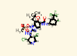 CC1(C)Cc2c(c(C(=O)Nc3ccc(F)c(C(F)(F)F)c3)cc3nc(Nc4c(Cl)cncc4Cl)n(OS(C)(=O)=O)c23)O1